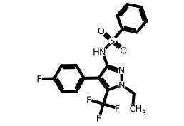 CCn1nc(NS(=O)(=O)c2ccccc2)c(-c2ccc(F)cc2)c1C(F)(F)F